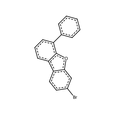 Brc1ccc2c(c1)oc1c(-c3ccccc3)cccc12